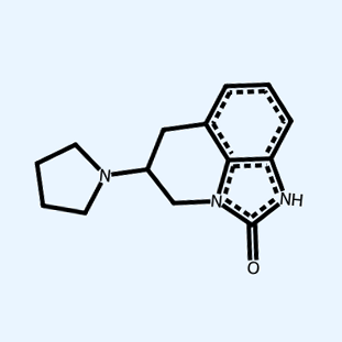 O=c1[nH]c2cccc3c2n1CC(N1CCCC1)C3